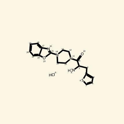 Cl.NC(Cc1cccs1)C(=O)N1CCN(c2nc3ccccc3o2)CC1